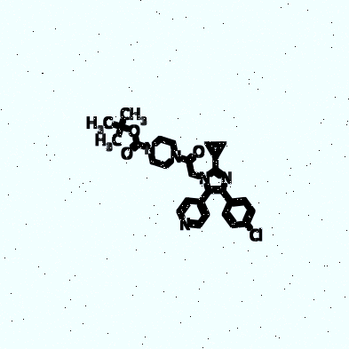 CC(C)(C)OC(=O)N1CCN(C(=O)Cn2c(C3CC3)nc(-c3ccc(Cl)cc3)c2-c2ccncc2)CC1